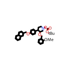 COc1ccccc1COC1CN(OC(=O)OC(C)(C)C)CCC1c1ccc(OCc2ccc3ccccc3c2)cc1